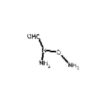 NON(N)C=O